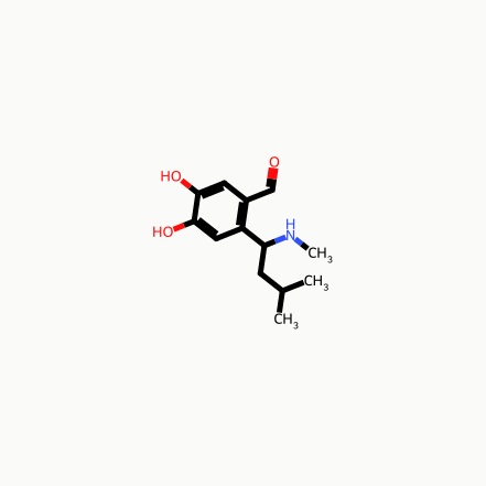 CNC(CC(C)C)c1cc(O)c(O)cc1C=O